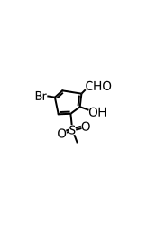 CS(=O)(=O)c1cc(Br)cc(C=O)c1O